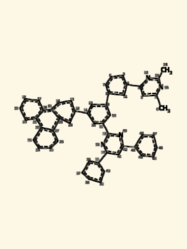 Cc1cc(-c2cccc(-c3cc(-c4ccc5c6ccccc6c6ccccc6c5c4)cc(-c4nc(-c5ccccc5)cc(-c5ccccc5)n4)c3)c2)nc(C)n1